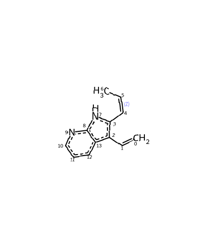 C=Cc1c(/C=C\C)[nH]c2ncccc12